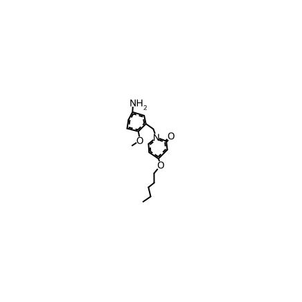 CCCCCOc1ccn(Cc2cc(N)ccc2OC)c(=O)c1